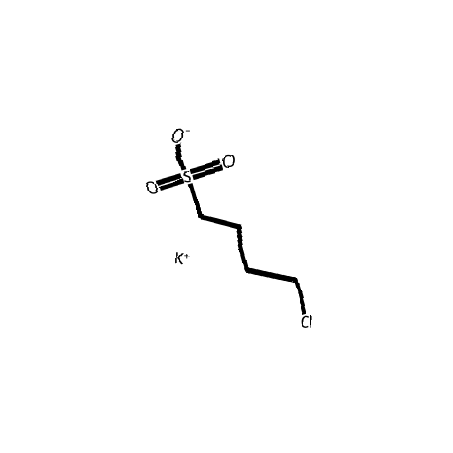 O=S(=O)([O-])CCCCCl.[K+]